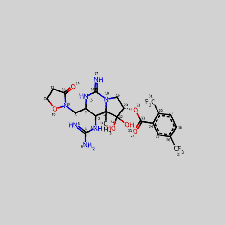 CC12C(NC(=N)N)C(CN3OCCC3=O)NC(=N)N1C[C@H](OC(=O)c1cc(C(F)(F)F)ccc1C(F)(F)F)C2(O)O